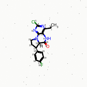 CCc1nc(Cl)nc2c1NC(=O)[C@H]1[C@@H](c3ccc(F)cc3)CCN21